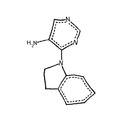 Nc1cncnc1N1CCc2ccccc21